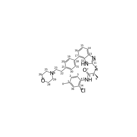 Cc1ccc(NC(=O)[C@H](C)Sc2nc3cccc(-c4ccc(CCN5CCOCC5)cc4)c3[nH]2)c(Cl)c1